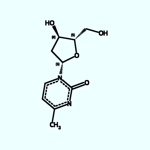 Cc1ccn([C@@H]2C[C@@H](O)[C@H](CO)O2)c(=O)n1